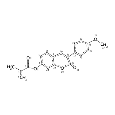 C=C(C)C(=O)Oc1ccc2cc(-c3ccc(OC)cc3)c(=O)oc2c1